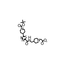 COC(=O)CN1CCC(CNC(=O)c2nnc(C3CCN(C(=O)OC(C)(C)C)CC3)s2)CC1